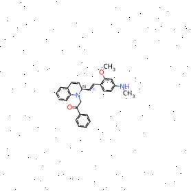 CNc1ccc(/C=C/[C@@H]2C=Cc3ccccc3N2CC(=O)c2ccccc2)c(OC)c1